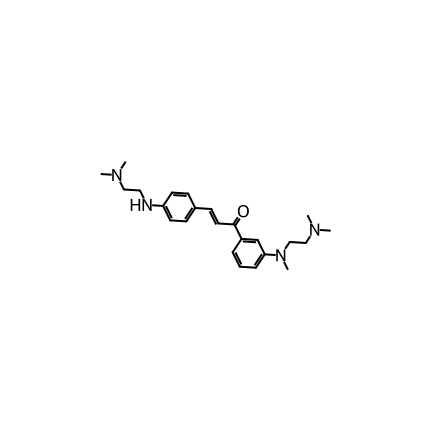 CN(C)CCNc1ccc(/C=C/C(=O)c2cccc(N(C)CCN(C)C)c2)cc1